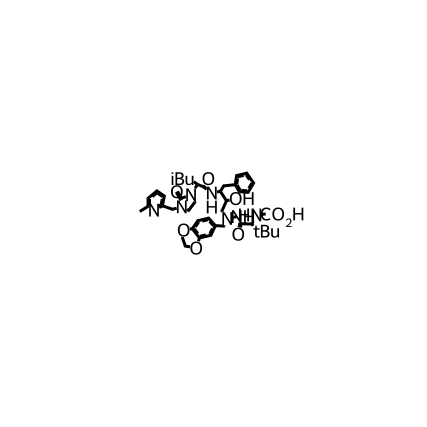 CCC(C)C(C(=O)NC(Cc1ccccc1)C(O)CN(Cc1ccc2c(c1)OCCO2)NC(=O)C(NC(=O)O)C(C)(C)C)N1CCN(Cc2cccc(C)n2)C1=O